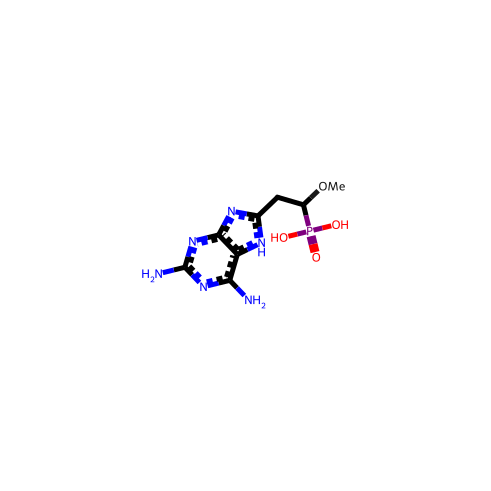 COC(Cc1nc2nc(N)nc(N)c2[nH]1)P(=O)(O)O